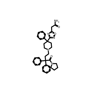 NC(=O)Cc1nc(C2(c3ccccc3)CCN(CCC(C(=O)N3CCCC3)(c3ccccc3)c3ccccc3)CC2)no1